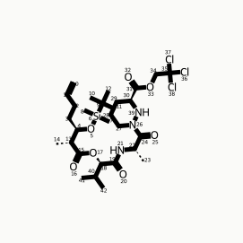 C=CCC[C@@H](O[Si](C)(C)C(C)(C)C)[C@@H](C)C(=O)O[C@H](C(=O)N[C@@H](C)C(=O)N1CCC[C@@H](C(=O)OCC(Cl)(Cl)Cl)N1)C(C)C